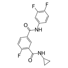 O=C(Nc1ccc(F)c(F)c1)c1ccc(F)c(C(=O)NC2CC2)c1